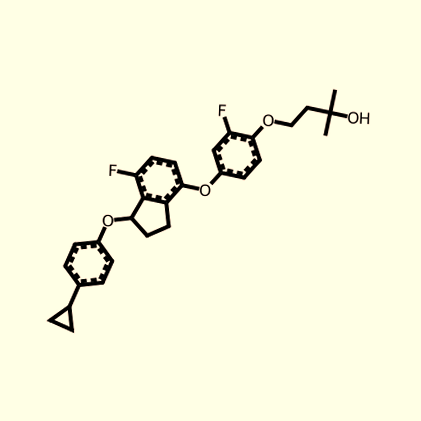 CC(C)(O)CCOc1ccc(Oc2ccc(F)c3c2CCC3Oc2ccc(C3CC3)cc2)cc1F